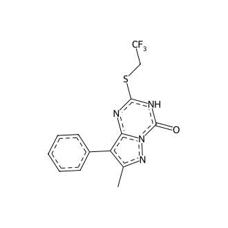 Cc1nn2c(=O)[nH]c(SCC(F)(F)F)nc2c1-c1ccccc1